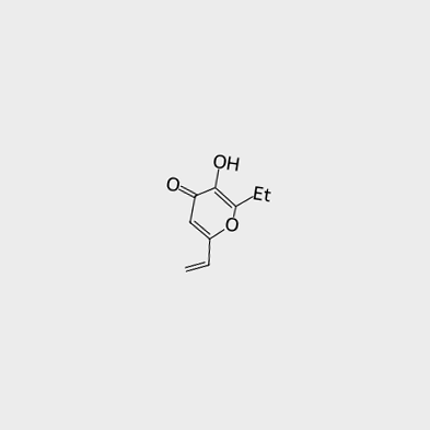 C=Cc1cc(=O)c(O)c(CC)o1